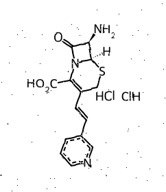 Cl.Cl.N[C@@H]1C(=O)N2C(C(=O)O)=C(/C=C/c3cccnc3)CS[C@H]12